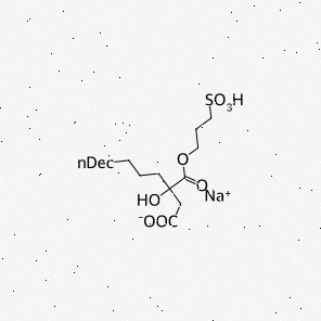 CCCCCCCCCCCCCC(O)(CC(=O)[O-])C(=O)OCCCS(=O)(=O)O.[Na+]